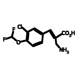 NCC(=Cc1ccc(OC(F)F)c(Cl)c1)C(=O)O